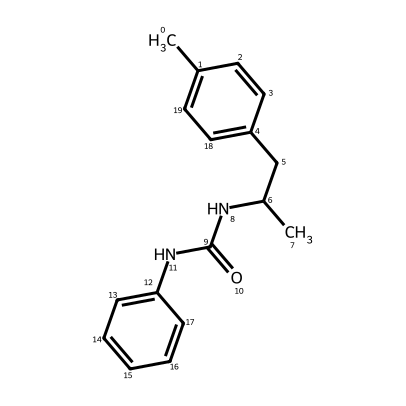 Cc1ccc(CC(C)NC(=O)Nc2ccccc2)cc1